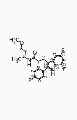 COCCC(C)NC(=O)CCc1c(-c2ccc(F)cc2)[nH]c2c(F)cc(F)cc12